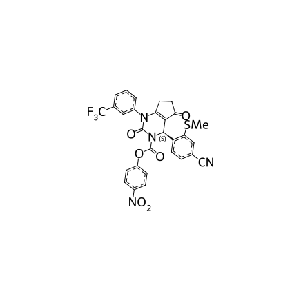 CSc1cc(C#N)ccc1[C@@H]1C2=C(CCC2=O)N(c2cccc(C(F)(F)F)c2)C(=O)N1C(=O)Oc1ccc([N+](=O)[O-])cc1